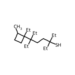 CCC(S)(CC)CCC(CC)(CC)C1(CC)CCC1C